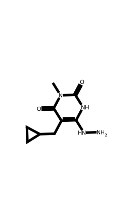 Cn1c(=O)[nH]c(NN)c(CC2CC2)c1=O